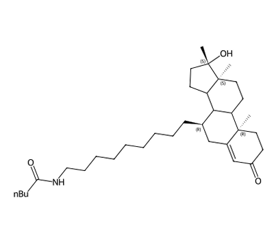 CCCCC(=O)NCCCCCCCCC[C@@H]1CC2=CC(=O)CC[C@]2(C)C2CC[C@@]3(C)C(CC[C@]3(C)O)C21